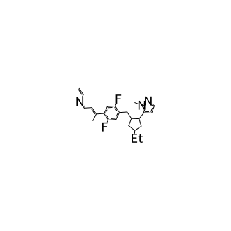 C=C/N=C\C=C(/C)c1cc(F)c(CC2CC(CC)CC2c2ccnn2C)cc1F